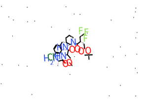 COCC(NC(=O)[C@H](C)N)C(=O)N[C@@]1(Cc2ccc(Cl)cc2)CCCN(C(=O)[C@@H](CC(=O)OC(C)(C)C)CC(F)(F)F)C1